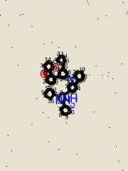 N/C(=C\C(NCc1ccccc1)c1ccc2c3ccccc3n(-c3cc(-c4cccc5oc6ccccc6c45)c4oc5ccccc5c4c3)c2c1)C1=CC=CCC1